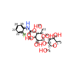 CC1O[C@H](CO)[C@@H](OC2O[C@H](CO)[C@@H](OC(=O)Nc3ccccc3F)[C@H](O)[C@H]2O)[C@H](O)[C@H]1O